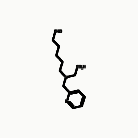 O=CCCCCCN(CC(=O)O)Cc1ccccn1